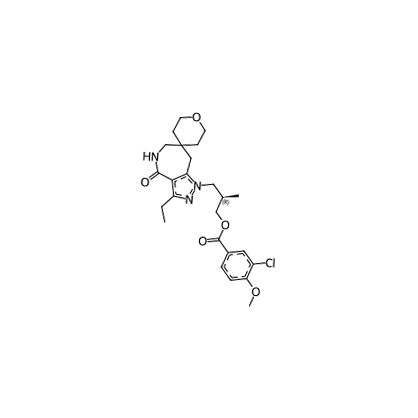 CCc1nn(C[C@@H](C)COC(=O)c2ccc(OC)c(Cl)c2)c2c1C(=O)NCC1(CCOCC1)C2